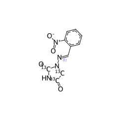 O=[13C]1[13CH2]N(/N=C/c2ccccc2[N+](=O)[O-])[13C](=O)N1